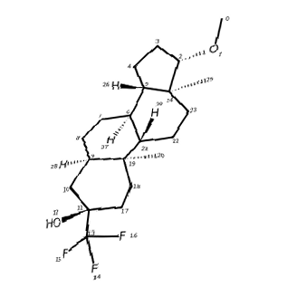 CO[C@H]1CC[C@H]2[C@@H]3CC[C@@H]4C[C@@](O)(C(F)(F)F)CC[C@]4(C)[C@H]3CC[C@]12C